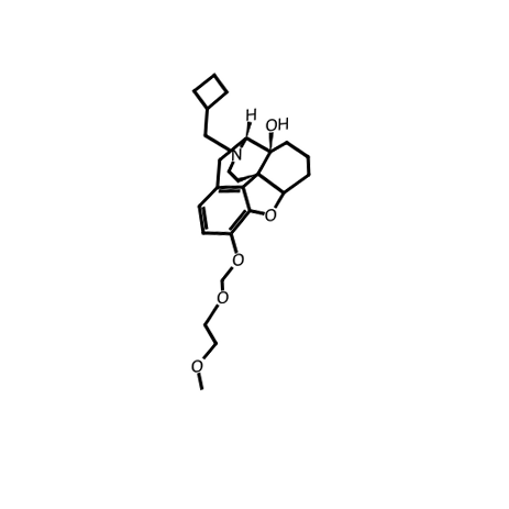 COCCOCOc1ccc2c3c1OC1CCC[C@@]4(O)[C@@H](C2)N(CC2CCC2)CC[C@]314